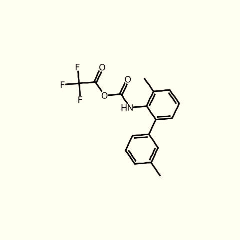 Cc1cccc(-c2cccc(C)c2NC(=O)OC(=O)C(F)(F)F)c1